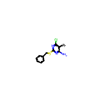 CC(C)c1c(N)nc(SCc2ccccc2)nc1Cl